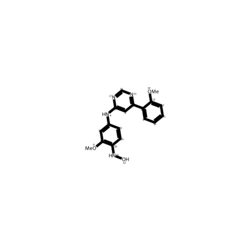 COc1cc(Nc2cc(-c3ccccc3OC)ncn2)ccc1NO